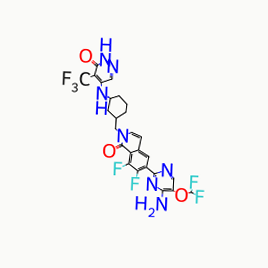 Nc1nc(-c2cc3ccn(CC4CCC[C@H](Nc5cn[nH]c(=O)c5C(F)(F)F)C4)c(=O)c3c(F)c2F)ncc1OC(F)F